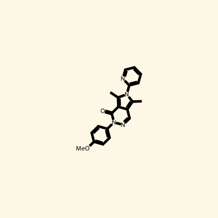 COc1ccc(-n2ncc3c(C)n(-c4ccccn4)c(C)c3c2=O)cc1